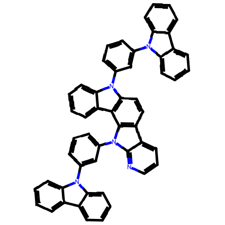 c1cc(-n2c3ccccc3c3ccccc32)cc(-n2c3ccccc3c3c2ccc2c4cccnc4n(-c4cccc(-n5c6ccccc6c6ccccc65)c4)c23)c1